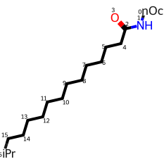 CCCCCCCCNC(=O)CCCCCCCCCCCCC(C)C